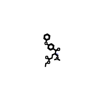 CCOC(=O)CC/C(=C\N(C)C)C(=O)c1ccc(Oc2ccccc2)cc1